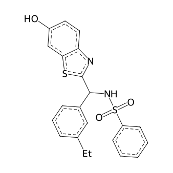 CCc1cccc(C(NS(=O)(=O)c2ccccc2)c2nc3ccc(O)cc3s2)c1